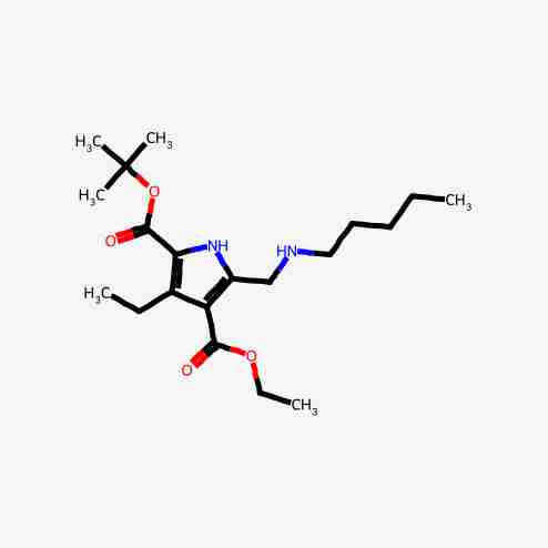 CCCCCNCc1[nH]c(C(=O)OC(C)(C)C)c(CC)c1C(=O)OCC